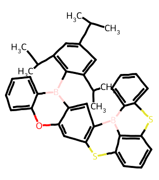 CC(C)c1cc(C(C)C)c(B2c3ccccc3Oc3cc4c(cc32)B2c3ccccc3Sc3cccc(c32)S4)c(C(C)C)c1